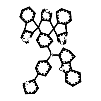 c1ccc(-c2ccc(N(c3ccc4c(c3)C3(c5ccccc5-c5ccccc53)c3ccccc3C43c4ccccc4-c4ccccc43)c3cccc4c3oc3ccccc34)cc2)cc1